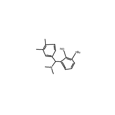 CCCCc1cccc(C(c2ccc(C)c(C)c2)N(C)C)c1O